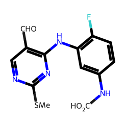 CSc1ncc(C=O)c(Nc2cc(NC(=O)O)ccc2F)n1